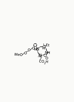 CCC1=C(C)c2cc3[nH]c(cc4nc(c5c6[nH]c(cc1n2)c(C)c6C(=O)C5)[C@@H](CCC(=O)O)[C@@H]4C)c(C)c3-c1ccccc1OCCOCCOCCOC